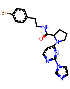 O=C(NCCc1ccc(Br)cc1)C1CCCN1c1ccnc(-n2ccnc2)n1